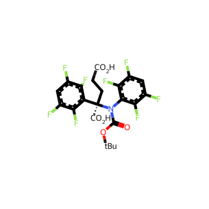 CC(C)(C)OC(=O)N(c1c(F)c(F)cc(F)c1F)[C@@](CCC(=O)O)(C(=O)O)c1c(F)c(F)cc(F)c1F